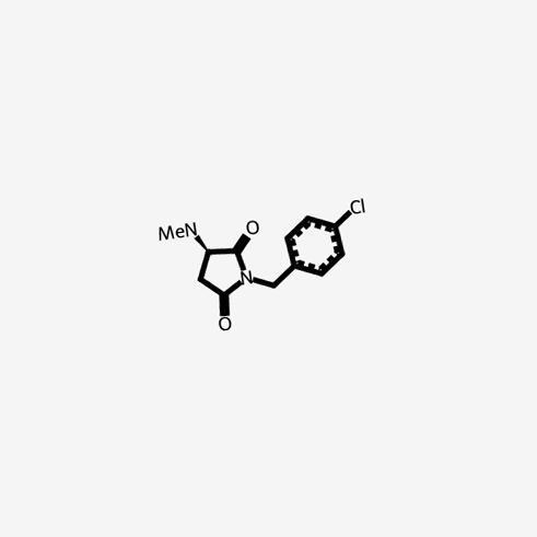 CN[C@@H]1CC(=O)N(Cc2ccc(Cl)cc2)C1=O